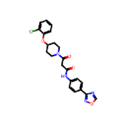 O=C(CC(=O)N1CCC(Oc2ccccc2Cl)CC1)Nc1ccc(-c2ncon2)cc1